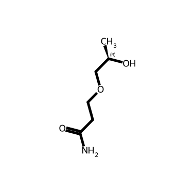 C[C@@H](O)COCCC(N)=O